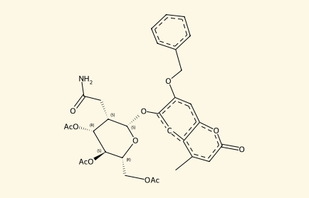 CC(=O)OC[C@H]1O[C@@H](Oc2cc3c(C)cc(=O)oc3cc2OCc2ccccc2)[C@@H](CC(N)=O)[C@@H](OC(C)=O)[C@@H]1OC(C)=O